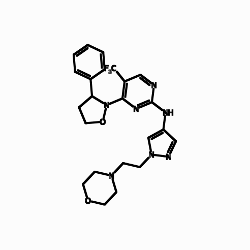 FC(F)(F)c1cnc(Nc2cnn(CCN3CCOCC3)c2)nc1N1OCCC1c1ccccc1